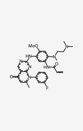 C=CC(=O)Nc1cc(Nc2ncc3c(=O)cc(C)n(-c4cccc(F)c4)c3n2)c(OC)cc1N(C)CCN(C)C